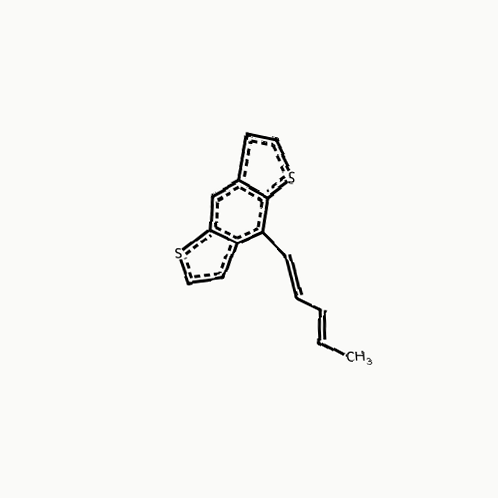 C/C=C/C=C/c1c2ccsc2cc2ccsc12